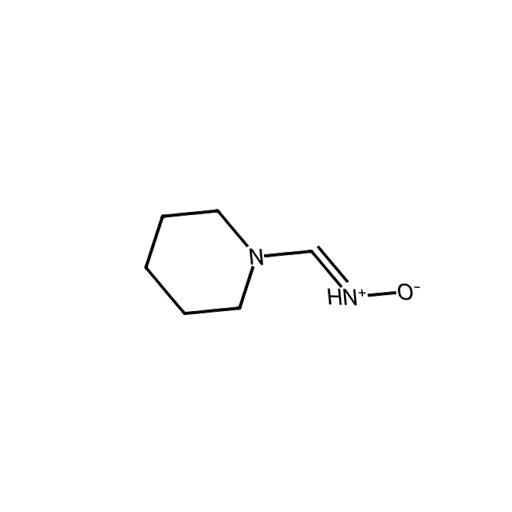 [O-][NH+]=CN1CCCCC1